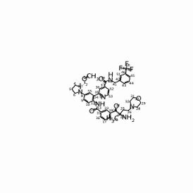 COC[C@H]1CCCN1c1ccc(NC(=O)c2cccc(C(=O)C(C)(N)CCN3CCOCC3)c2)c(-c2cc(C(=O)NCc3cccc(C(F)(F)F)c3)ccn2)c1